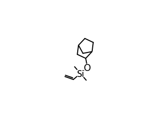 C=C[Si](C)(C)OC1CC2CCC1C2